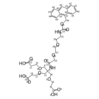 O=C(O)CCOCC(COCCC(=O)O)(COCCC(=O)O)NC(=O)COCCOCCNC(=O)OCc1c2ccccc2cc2ccccc12